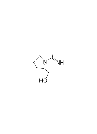 CC(=N)N1CCCC1CO